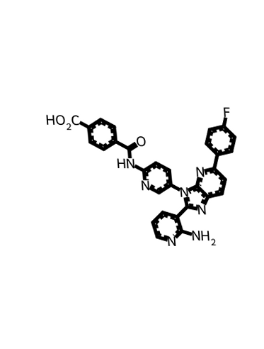 Nc1ncccc1-c1nc2ccc(-c3ccc(F)cc3)nc2n1-c1ccc(NC(=O)c2ccc(C(=O)O)cc2)nc1